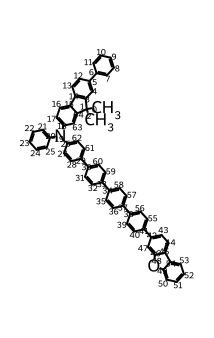 CC1(C)c2cc(-c3ccccc3)ccc2-c2ccc(N(c3ccccc3)c3ccc(-c4ccc(-c5ccc(-c6ccc(-c7ccc8c(c7)oc7ccccc78)cc6)cc5)cc4)cc3)cc21